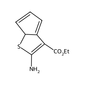 CCOC(=O)C1=C(N)SC2C=CC=C12